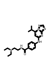 CCN(CC)CCNC(=O)c1ccc(Nc2cc(C(C)C)n3ncnc3n2)cc1